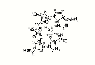 Nc1nc2c(ncn2[C@@H]2OC(CO)C[C@H]2OP(=O)(S)OCC2O[C@@H](n3ccc4c(N)ncnc43)C[C@@H]2O)c(=O)[nH]1